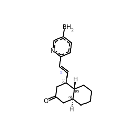 Bc1ccc(/C=C/[C@@H]2CC(=O)C[C@@H]3CCCC[C@H]32)nc1